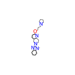 Cn1c(N2CCc3nc(OCCCN4CCCC4)ccc3C2)nc2ccccc21